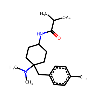 CC(=O)OC(C)C(=O)NC1CCC(Cc2ccc(C)cc2)(N(C)C)CC1